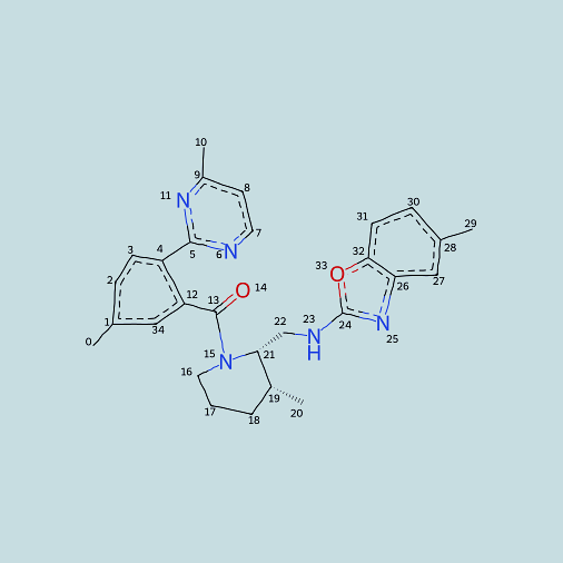 Cc1ccc(-c2nccc(C)n2)c(C(=O)N2CCC[C@@H](C)[C@H]2CNc2nc3cc(C)ccc3o2)c1